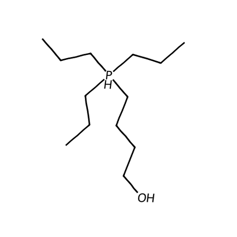 CCC[PH](CCC)(CCC)CCCCO